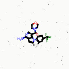 Cc1cc(C(F)(F)F)ccc1-n1ccc2c(N)ncc(C(=O)N3CCOCC3)c21